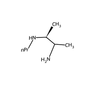 CCCN[C@@H](C)C(C)N